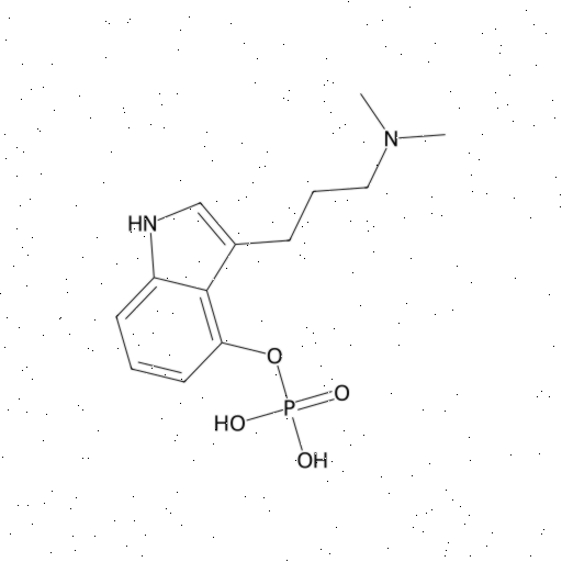 CN(C)CCCc1c[nH]c2cccc(OP(=O)(O)O)c12